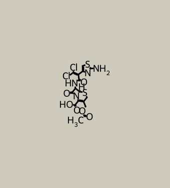 CC(=O)OCC1=C(C(=O)O)N2C(=O)C(NC(=O)C(=C(Cl)Cl)c3csc(N)n3)[C@@H]2SC1